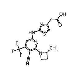 C[C@H]1CCN1c1nc(Nc2nc(CC(=O)O)cs2)cc(C(F)(F)F)c1C#N